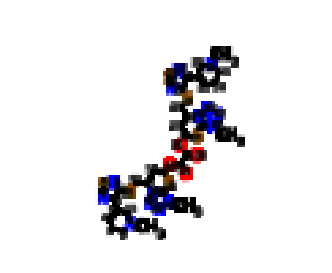 CN1CCC=C(c2nsnc2SCCCC(OC(=O)C(=O)OC(CCCSc2nsnc2C2=CCCN(C)C2)Sc2nnnn2C)Sc2nnnn2C)C1